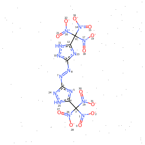 O=[N+]([O-])C(c1nc(N=Nc2n[nH]c(C([N+](=O)[O-])([N+](=O)[O-])[N+](=O)[O-])n2)n[nH]1)([N+](=O)[O-])[N+](=O)[O-]